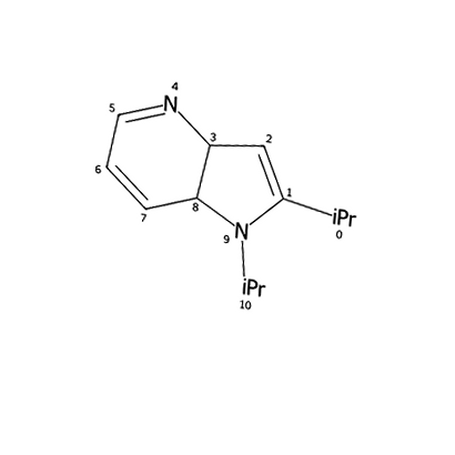 CC(C)C1=CC2N=CC=CC2N1C(C)C